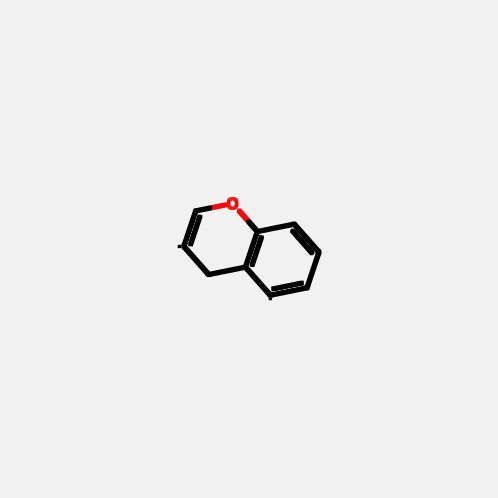 [C]1=COc2ccc[c]c2C1